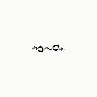 CCn1cc[n+](CCn2cc[n+](CC)c2)c1